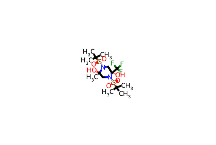 CC(C)(C)S(=O)(=O)N1C[C@@](O)(C(F)(F)F)N(S(=O)(=O)C(C)(C)C)C[C@]1(C)O